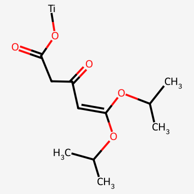 CC(C)OC(=CC(=O)CC(=O)[O][Ti])OC(C)C